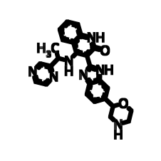 CC(Nc1c(-c2nc3ccc(C4CNCCO4)cc3[nH]2)c(=O)[nH]c2ccccc12)c1cnccn1